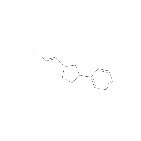 O=C(O)/C=C/N1CCC(c2ccccc2)C1